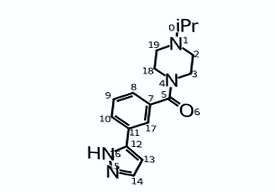 CC(C)N1CCN(C(=O)c2cccc(-c3ccn[nH]3)c2)CC1